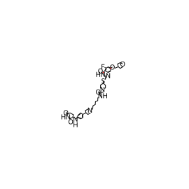 O=C(CN1CCC(SCc2nc3cc(OCC4CCOCC4)cc(F)c3c(=O)[nH]2)CC1)NCCCCCCN1CCC(c2ccc(NC3CCC(=O)NC3=O)cc2)CC1